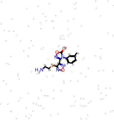 Cc1cccc(-n2c(-c3nonc3SCCN)noc2=O)c1